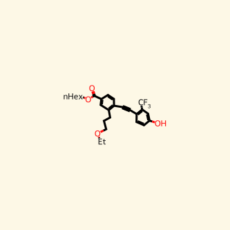 CCCCCCOC(=O)c1ccc(C#Cc2ccc(O)cc2C(F)(F)F)c(CCCOCC)c1